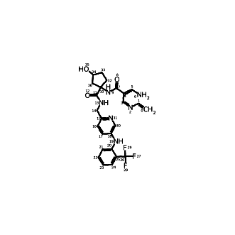 C=C/N=C\C(=C/N)C(=O)NC1(C(=O)NCc2ccc(Nc3ccccc3C(F)(F)F)cn2)CCC(O)C1